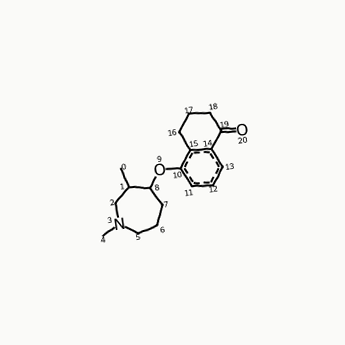 CC1CN(C)CCCC1Oc1cccc2c1CCCC2=O